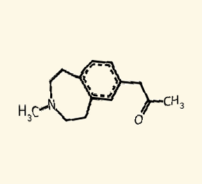 CC(=O)Cc1ccc2c(c1)CCN(C)CC2